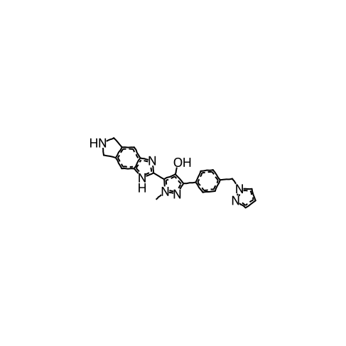 Cn1nc(-c2ccc(Cn3cccn3)cc2)c(O)c1-c1nc2cc3c(cc2[nH]1)CNC3